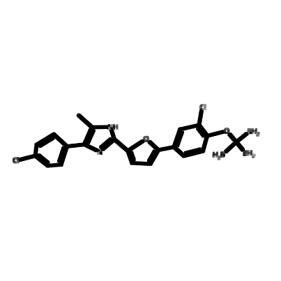 BC(B)(B)Oc1ccc(-c2ccc(-c3nc(-c4ccc(Cl)cc4)c(C)[nH]3)o2)cc1Cl